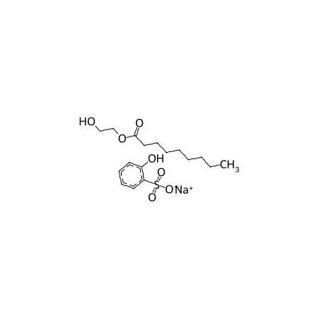 CCCCCCCCC(=O)OCCO.O=S(=O)([O-])c1ccccc1O.[Na+]